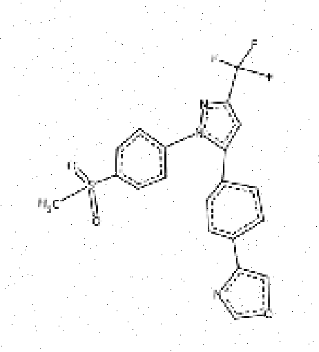 CS(=O)(=O)c1ccc(-n2nc(C(F)(F)F)cc2-c2ccc(-c3cocn3)cc2)cc1